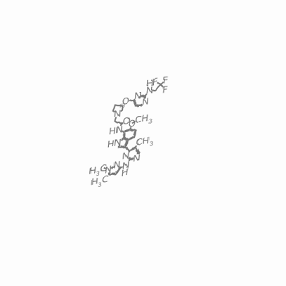 COc1ccc2c(-c3nc(Nc4cc(C)n(C)n4)ncc3C)c[nH]c2c1NC(=O)CN1CC[C@H](Oc2ccnc(NCC(F)(F)F)n2)C1